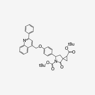 CC(C)(C)OC(=O)C1CC12CC(c1ccc(OCc3cc(-c4ccccc4)nc4ccccc34)cc1)N(C(=O)OC(C)(C)C)C2=O